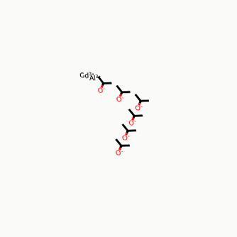 CC(C)[O-].CC(C)[O-].CC(C)[O-].CC(C)[O-].CC(C)[O-].CC(C)[O-].[Al+3].[Gd+3]